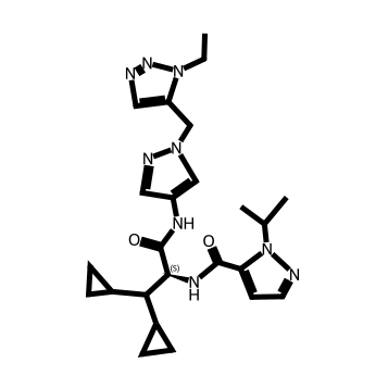 CCn1nncc1Cn1cc(NC(=O)[C@@H](NC(=O)c2ccnn2C(C)C)C(C2CC2)C2CC2)cn1